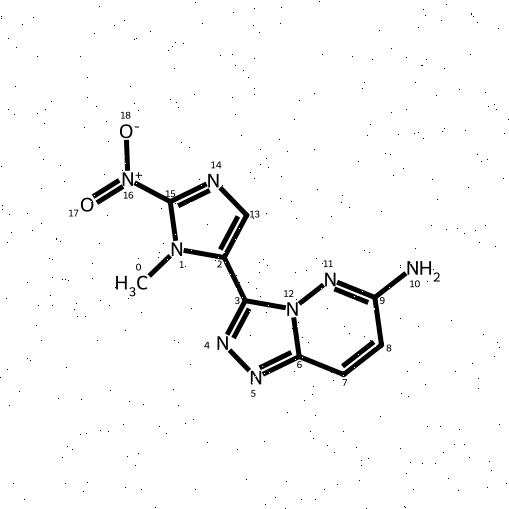 Cn1c(-c2nnc3ccc(N)nn23)cnc1[N+](=O)[O-]